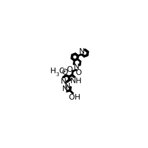 COc1cnc(-n2cc(CO)cn2)c2[nH]cc(C(=O)C(=O)N3CCc4c(cccc4-c4ccccn4)C3)c12